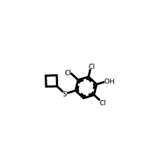 Oc1c(Cl)cc(SC2CCC2)c(Cl)c1Cl